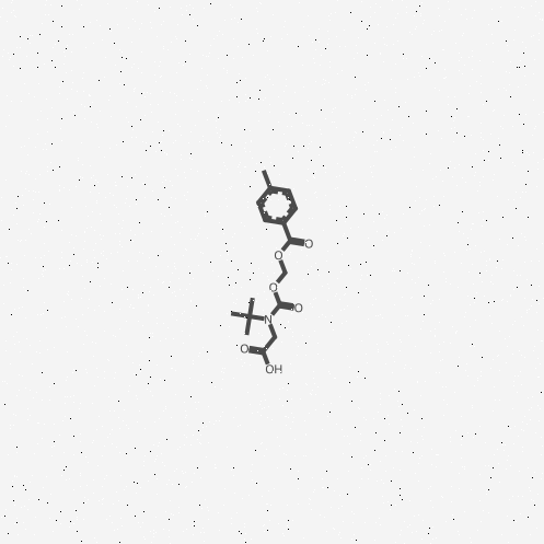 Cc1ccc(C(=O)OCOC(=O)N(CC(=O)O)C(C)(C)C)cc1